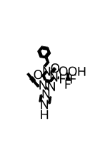 CC#CCn1c(N2CCNCC2)nc2c1c(=O)n(CCc1ccccc1)c(=O)n2C.O=C(O)C(F)(F)F